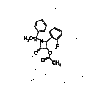 CC(=O)OC1C(=O)N([C@@H](C)c2ccccc2)C1c1ccccc1F